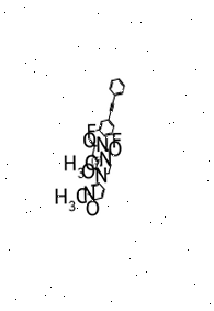 Cn1cc(N2CCN3C(=O)N(c4c(F)cc(C#Cc5ccccc5)cc4F)C(=O)C[C@@]3(C)C2=O)ccc1=O